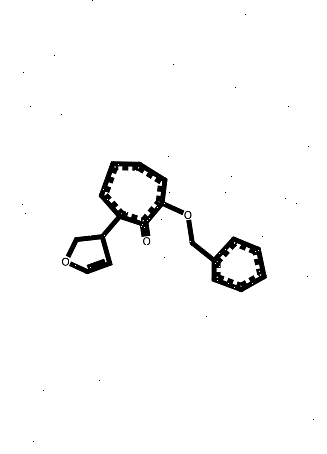 O=c1c(OCc2ccccc2)ccccc1C1C=COC1